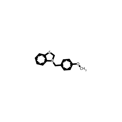 COc1ccc(CN2CSc3ccccc32)cc1